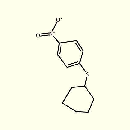 O=[N+]([O-])c1ccc(SC2CCCCC2)cc1